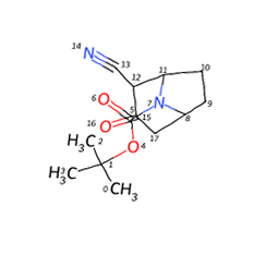 CC(C)(C)OC(=O)N1C2CCC1C(C#N)C(=O)C2